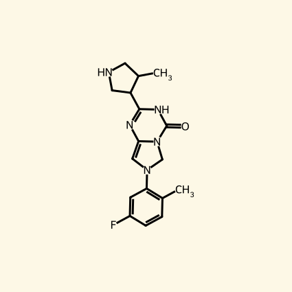 Cc1ccc(F)cc1N1C=C2N=C(C3CNCC3C)NC(=O)N2C1